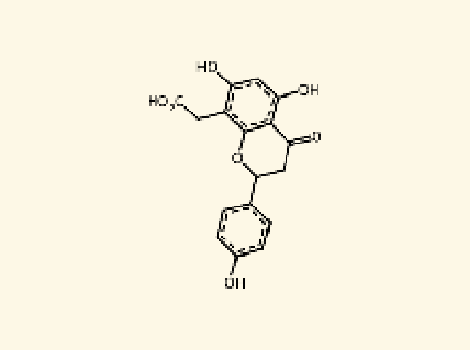 O=C(O)Cc1c(O)cc(O)c2c1OC(c1ccc(O)cc1)CC2=O